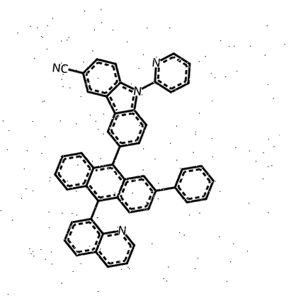 N#Cc1ccc2c(c1)c1cc(-c3c4ccccc4c(-c4cccc5cccnc45)c4ccc(-c5ccccc5)cc34)ccc1n2-c1ccccn1